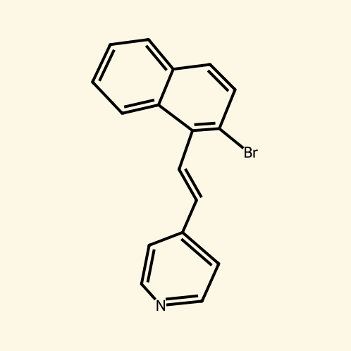 Brc1ccc2ccccc2c1C=Cc1ccncc1